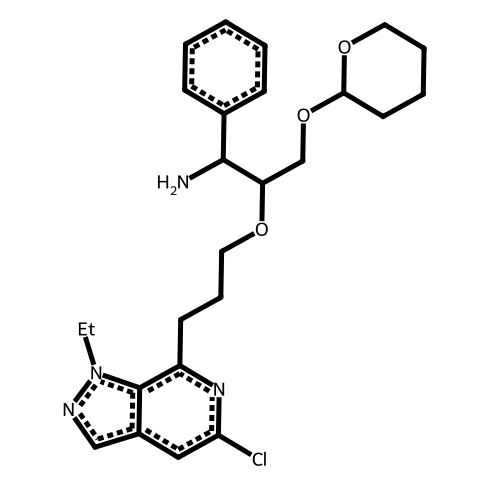 CCn1ncc2cc(Cl)nc(CCCOC(COC3CCCCO3)C(N)c3ccccc3)c21